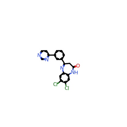 O=C1CC(c2cccc(-c3ccncn3)c2)=Nc2cc(Cl)c(Cl)cc2N1